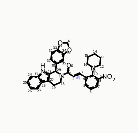 O=C(/C=C/c1cccc([N+](=O)[O-])c1N1CCCCC1)N1CCc2c([nH]c3ccccc23)C1c1ccc2c(c1)OCO2